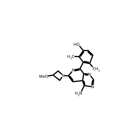 COC1CN(c2cc3c(N)ncnc3c(-c3c(C)ccc(O)c3C)n2)C1